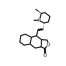 C[C@H]1CCC[C@H](C=CC2C3CCCCC3CC3C(=O)OCC32)N1C